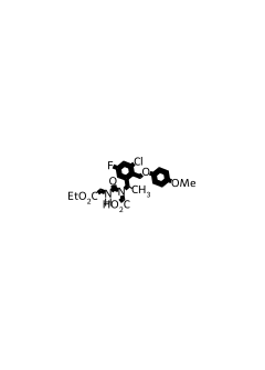 CCOC(=O)CNC(=O)N(CC(=O)O)[C@@H](C)c1cc(F)cc(Cl)c1COc1ccc(OC)cc1